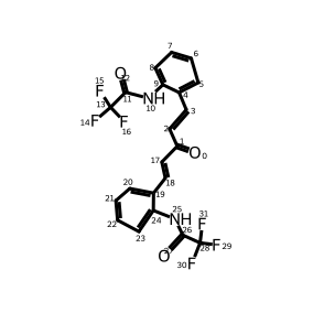 O=C(/C=C/c1ccccc1NC(=O)C(F)(F)F)/C=C/c1ccccc1NC(=O)C(F)(F)F